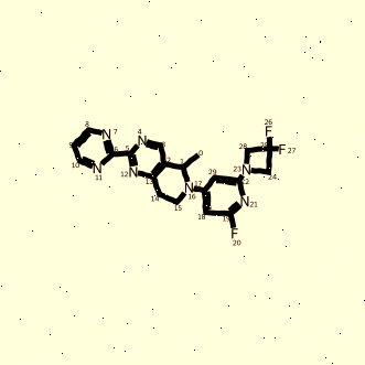 CC1c2cnc(-c3ncccn3)nc2CCN1c1cc(F)nc(N2CC(F)(F)C2)c1